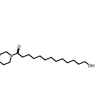 O=C(CCCCCCCCCCCCO)N1CCOCC1